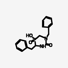 O=C1NC(Cc2ccccc2)P(=O)(O)CN1Cc1ccccc1